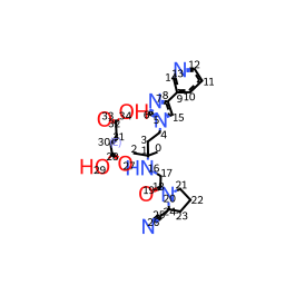 CC(C)(CCn1cnc(-c2cccnc2)c1)NCC(=O)N1CCCC1C#N.O=C(O)/C=C/C(=O)O